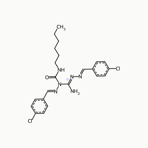 CCCCCCNC(=O)N(N=Cc1ccc(Cl)cc1)/C(N)=N/N=Cc1ccc(Cl)cc1